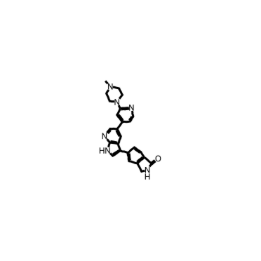 CN1CCN(c2cc(-c3cnc4[nH]cc(-c5ccc6c(c5)CNC6=O)c4c3)ccn2)CC1